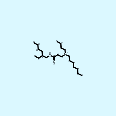 CCCCCCCN(CCCC)CCC(=O)OCC(CC)CCCC